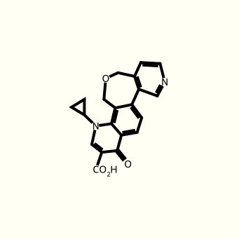 O=C(O)c1cn(C2CC2)c2c3c(ccc2c1=O)-c1cnccc1COC3